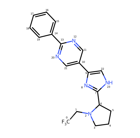 FC(F)(F)CN1CCCC1c1nc(-c2cnc(-c3ccccc3)nc2)c[nH]1